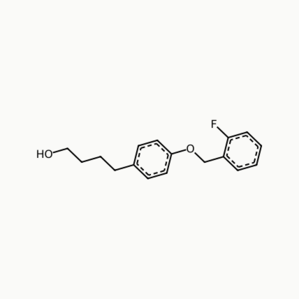 OCCCCc1ccc(OCc2ccccc2F)cc1